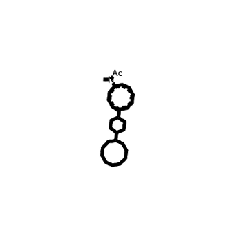 CC(=O)N(C)c1cccccc(C2CCC(C3CCCCCCCCC3)CC2)ccc1